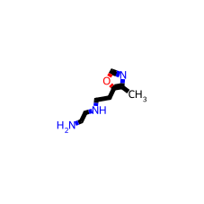 Cc1ncoc1CCNCCN